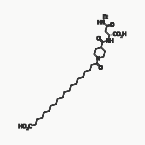 CCNC(=O)C[C@@H](NC(=O)C1CCN(C(=O)CCCCCCCCCCCCCCCCCCC(=O)O)CC1)C(=O)O